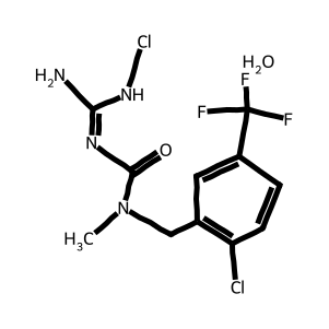 CN(Cc1cc(C(F)(F)F)ccc1Cl)C(=O)N=C(N)NCl.O